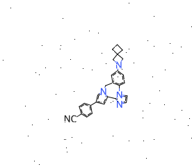 N#Cc1ccc(-c2cc3n(c2)Cc2cc(N4CC5(CCC5)C4)ccc2-n2ccnc2-3)cc1